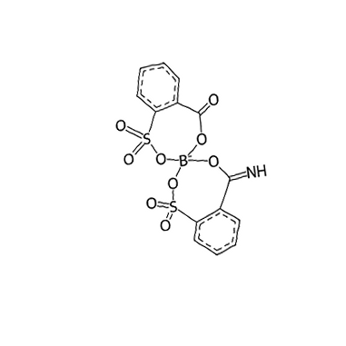 N=C1O[B-]2(OC(=O)c3ccccc3S(=O)(=O)O2)OS(=O)(=O)c2ccccc21